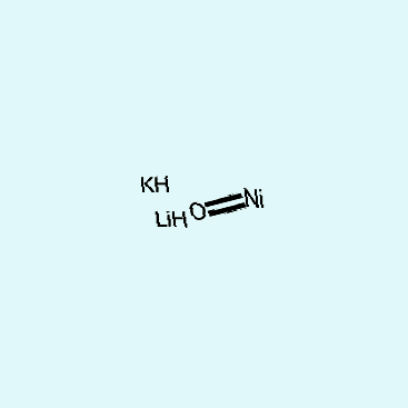 [KH].[LiH].[O]=[Ni]